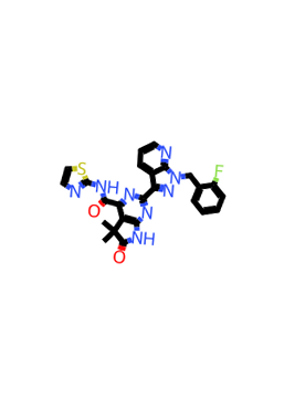 CC1(C)C(=O)Nc2nc(-c3nn(Cc4ccccc4F)c4ncccc34)nc(C(=O)Nc3nccs3)c21